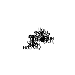 CC(C)C[C@H](NC(=O)[C@H](CC(C)C)NC(=O)[C@@H](N)CC(=O)O)C(=O)N[C@@H](Cc1ccccc1)C(=O)N1CCC[C@H]1C(=O)N[C@H](C(=O)N[C@@H](CC(=O)O)C(=O)N[C@H](C(=O)O)[C@@H](C)O)[C@@H](C)O